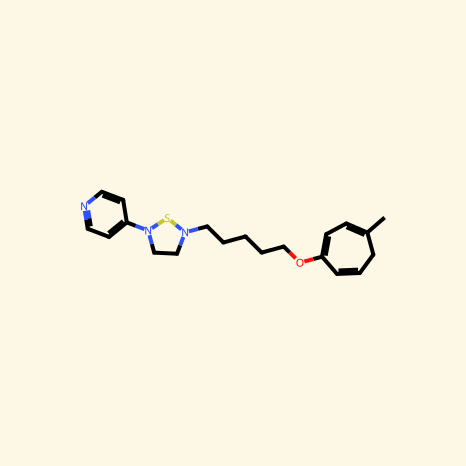 CC1=CC=C(OCCCCCN2CCN(c3ccncc3)S2)C=CC1